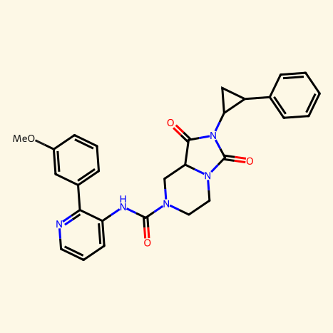 COc1cccc(-c2ncccc2NC(=O)N2CCN3C(=O)N(C4CC4c4ccccc4)C(=O)C3C2)c1